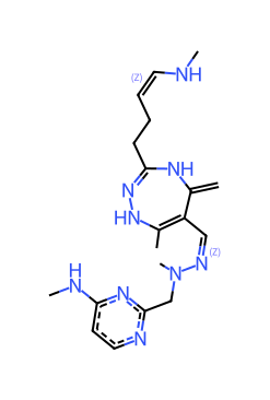 C=C1NC(CC/C=C\NC)=NNC(C)=C1/C=N\N(C)Cc1nccc(NC)n1